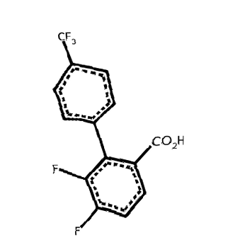 O=C(O)c1ccc(F)c(F)c1-c1ccc(C(F)(F)F)cc1